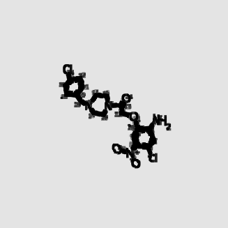 Nc1cc(Cl)c([N+](=O)[O-])cc1OCC(=O)N1CCN(Cc2ccc(Cl)cc2)CC1